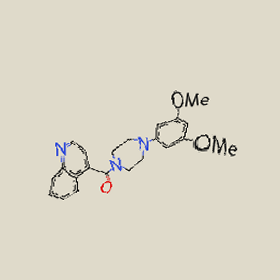 COc1cc(OC)cc(N2CCN(C(=O)c3ccnc4ccccc34)CC2)c1